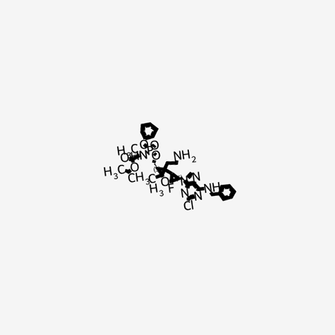 CC(C)OC(=O)[C@H](C)NP(=O)(OC[C@H]1C2(C)OC3(F)C([C@@H]3n3cnc4c(NCc5ccccc5)nc(Cl)nc43)C12CCN)Oc1ccccc1